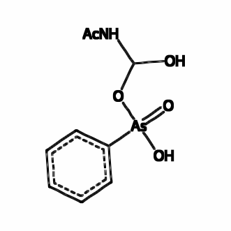 CC(=O)NC(O)O[As](=O)(O)c1ccccc1